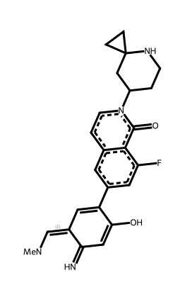 CN/C=C1/C=C(c2cc(F)c3c(=O)n(C4CCNC5(CC5)C4)ccc3c2)C(O)=CC1=N